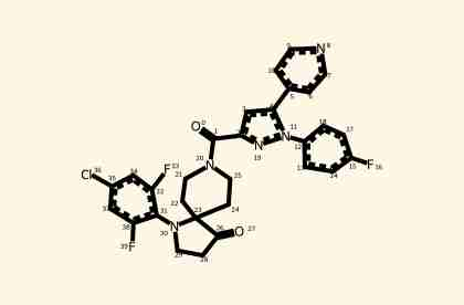 O=C(c1cc(-c2ccncc2)n(-c2ccc(F)cc2)n1)N1CCC2(CC1)C(=O)CCN2c1c(F)cc(Cl)cc1F